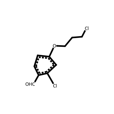 O=Cc1ccc(OCCCCl)cc1Cl